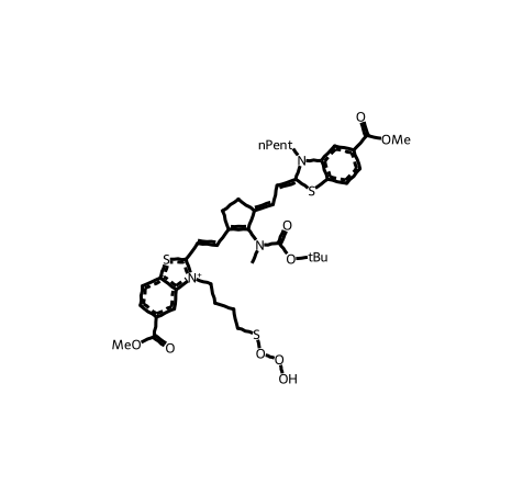 CCCCCN1/C(=C/C=C2\CCC(/C=C/c3sc4ccc(C(=O)OC)cc4[n+]3CCCCSOOO)=C2N(C)C(=O)OC(C)(C)C)Sc2ccc(C(=O)OC)cc21